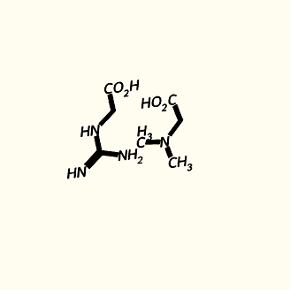 CN(C)CC(=O)O.N=C(N)NCC(=O)O